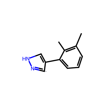 Cc1cccc(-c2[c]n[nH]c2)c1C